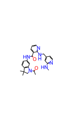 CNc1cc(CNc2ncccc2C(=O)Nc2ccc3c(c2)N(C(C)=O)CC3(C)C)ccn1